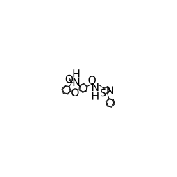 O=C(NCc1cnc(-c2ccccc2)s1)c1ccc2c(c1)NC(=O)c1ccccc1O2